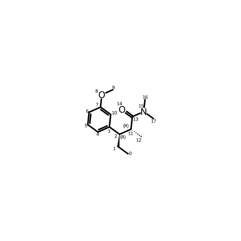 CC[C@@H](c1cccc(OC)c1)[C@@H](C)C(=O)N(C)C